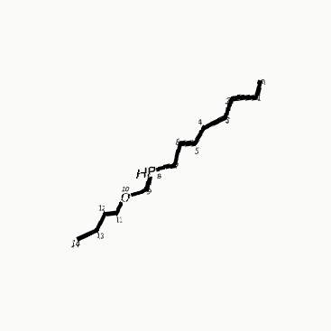 CCCCCCCCPCOCCCC